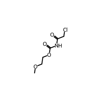 COCCOC(=O)NC(=O)CCl